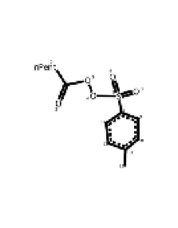 CCCCCC(=O)OOS(=O)(=O)c1ccc(C)cc1